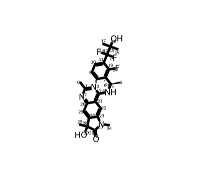 Cc1nc(N[C@H](C)c2cccc(C(F)(F)C(C)(C)O)c2F)c2cc3c(cc2n1)C(C)(O)C(=O)N3C